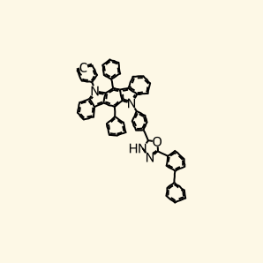 c1ccc(-c2cccc(C3=NNC(c4ccc(-n5c6ccccc6c6c(-c7ccccc7)c7c(c(-c8ccccc8)c65)c5ccccc5n7-c5ccccc5)cc4)O3)c2)cc1